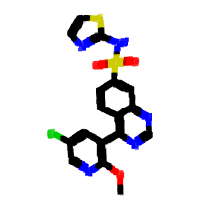 COc1ncc(Cl)cc1-c1ncnc2cc(S(=O)(=O)Nc3nccs3)ccc12